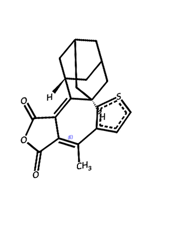 C/C(=C1\C(=O)OC(=O)C1=C1[C@H]2CC3CC(C[C@H]1C3)C2)c1ccsc1